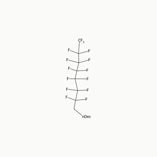 CCCCCCCCCCCC(F)(F)C(F)(F)C(F)(F)C(F)(F)C(F)(F)C(F)(F)C(F)(F)F